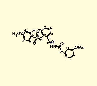 COc1cccc(CC(=O)N/N=C/c2cccc(C)c2OS(=O)(=O)c2ccc(C)cc2)c1